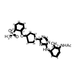 CC(=O)Nc1cccc(Nc2ncnc(N3CCC(Oc4ccccc4S(C)(=O)=O)CC3)n2)c1C